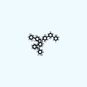 c1ccc(-c2cccc(-c3ccc(-n4c5ccc(-c6ccccc6)cc5c5c6c7ccccc7n(-c7ccccc7)c6ccc54)cc3)c2)cc1